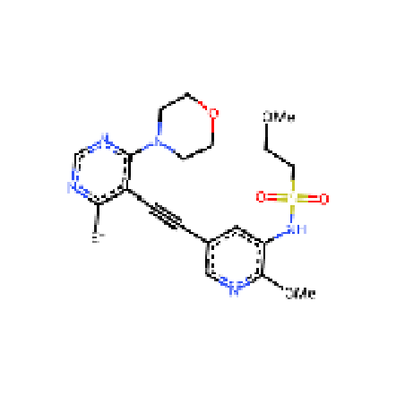 CCc1ncnc(N2CCOCC2)c1C#Cc1cnc(OC)c(NS(=O)(=O)CCOC)c1